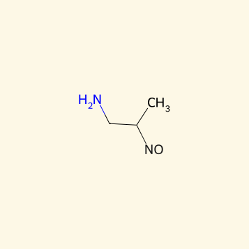 CC(CN)N=O